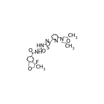 C[C@@H]1CN(c2cccc(-c3csc(NC(=O)CNC(=O)c4ccc5c(c4)[C@@](C)(F)COC5)n3)n2)C[C@H](C)O1